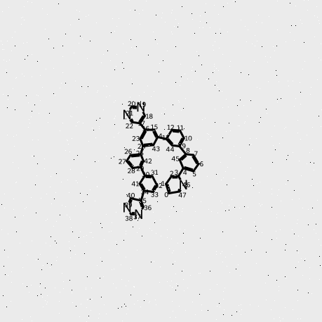 c1ccc(-c2cccc(-c3cccc(-c4cc(-c5cncnc5)cc(-c5cccc(-c6cccc(-c7cncnc7)c6)c5)c4)c3)c2)nc1